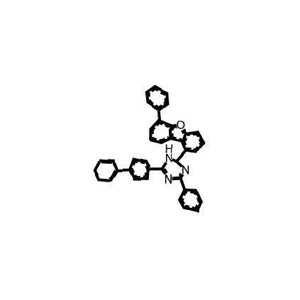 C1=CC(c2ccc(C3=NC(c4ccccc4)=NC(c4cccc5oc6c(-c7ccccc7)cccc6c45)N3)cc2)=CCC1